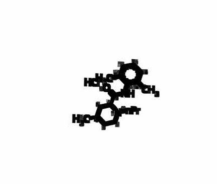 CCCN1CC[C@@H](C)C[C@H]1C(=O)Nc1c(C)cccc1C.Cl